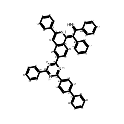 N=C(/C(=C1\NC(c2ccccc2)=Cc2cc(-c3nc(-c4ccccc4)nc(-c4ccc(-c5ccccc5)cc4)n3)ccc21)c1ccccc1)c1ccccc1